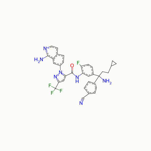 N#Cc1ccc(C(N)(CCC2CC2)c2ccc(F)c(NC(=O)c3cc(C(F)(F)F)nn3-c3ccc4ccnc(N)c4c3)c2)cc1